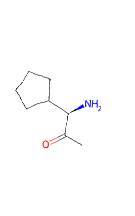 CC(=O)[C@H](N)C1CCCC1